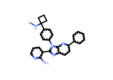 Nc1ncccc1-c1nc2ccc(-c3ccccc3)nc2n1-c1ccc(C2(NCl)CCC2)cc1